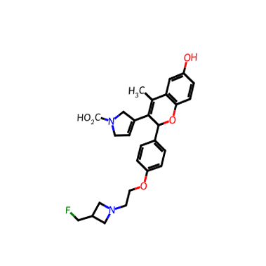 CC1=C(C2=CCN(C(=O)O)C2)C(c2ccc(OCCN3CC(CF)C3)cc2)Oc2ccc(O)cc21